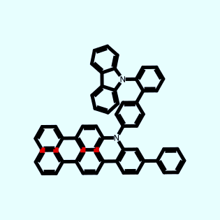 c1ccc(-c2ccc(-c3ccc(-c4ccccc4)cc3N(c3ccc(-c4ccccc4)cc3)c3ccc(-c4ccccc4-n4c5ccccc5c5ccccc54)cc3)cc2)cc1